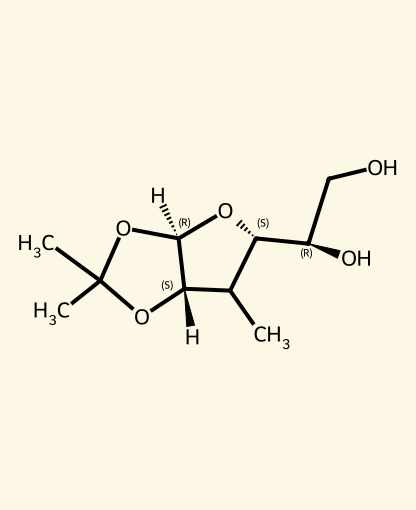 CC1[C@@H]2OC(C)(C)O[C@H]2O[C@@H]1[C@H](O)CO